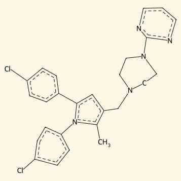 Cc1c(CN2CCN(c3ncccn3)CC2)cc(-c2ccc(Cl)cc2)n1-c1ccc(Cl)cc1